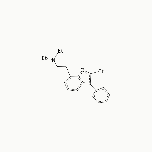 CCc1oc2c(CCN(CC)CC)cccc2c1-c1ccccc1